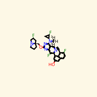 [2H]C([2H])([2H])N(c1nc(OC[C@@]23CCCN2C[C@H](F)C3)nc2c(F)c(-c3cc(O)cc4ccc(F)c(C#C)c34)ncc12)[C@H]1C[C@@H]1F